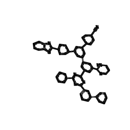 N#Cc1ccc(-c2cc(-c3ccc(-c4nc5ccccc5o4)cc3)cc(-c3cc(-c4nc(-c5ccccc5)nc(-c5cccc(-c6ccccc6)c5)n4)cc(C4N=CC=CN4)c3)c2)cc1